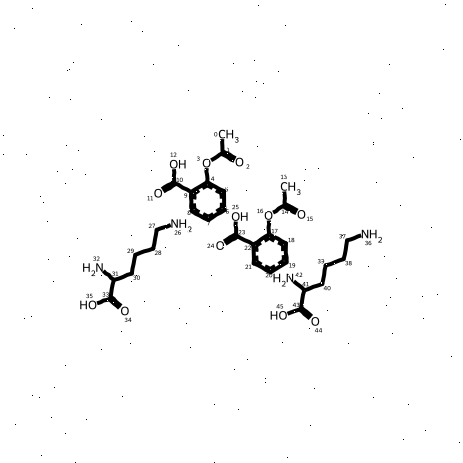 CC(=O)Oc1ccccc1C(=O)O.CC(=O)Oc1ccccc1C(=O)O.NCCCCC(N)C(=O)O.NCCCCC(N)C(=O)O